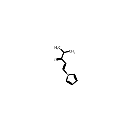 CC(C)C(=O)/C=C/n1cccc1